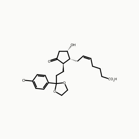 O=C(O)CCC/C=C\C[C@H]1[C@@H](O)CC(=O)[C@@H]1CCC1(c2ccc(Cl)cc2)OCCO1